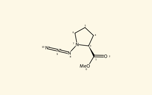 COC(=O)[C@@H]1CCCN1N=[N+]=[N-]